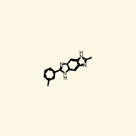 Cc1cccc(C2=NC3C=c4[nH]c(C)nc4=CC3N2)c1